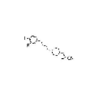 N#CC(F)=C[C@H]1CC[C@H](CCCCc2ccc(F)c(F)c2)CC1